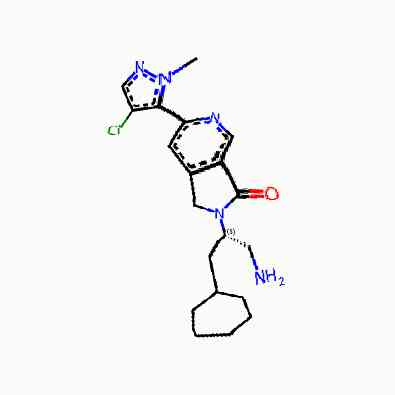 Cn1ncc(Cl)c1-c1cc2c(cn1)C(=O)N([C@H](CN)CC1CCCCC1)C2